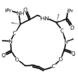 CC(C)N[C@]1(C)CN(C)C(=O)OC/C=C/COC(=O)N(C)C[C@](C)(C(=O)C(C)C)NCC1=O